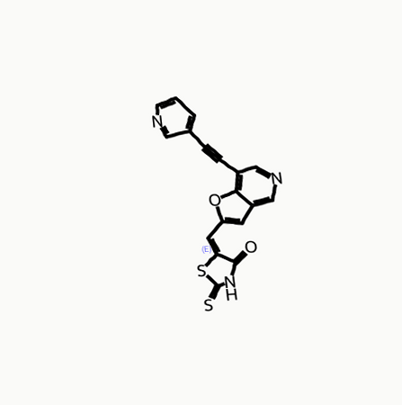 O=C1NC(=S)S/C1=C/c1cc2cncc(C#Cc3cccnc3)c2o1